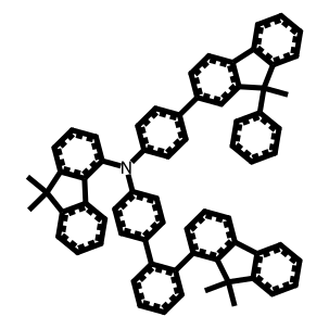 CC1(C)c2ccccc2-c2c(N(c3ccc(-c4ccc5c(c4)C(C)(c4ccccc4)c4ccccc4-5)cc3)c3ccc(-c4ccccc4-c4cccc5c4C(C)(C)c4ccccc4-5)cc3)cccc21